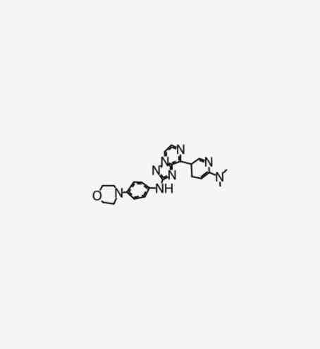 CN(C)C1=CCC(c2nccn3nc(Nc4ccc(N5CCOCC5)cc4)nc23)C=N1